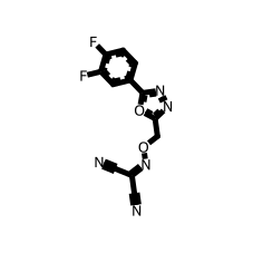 N#CC(C#N)=NOCc1nnc(-c2ccc(F)c(F)c2)o1